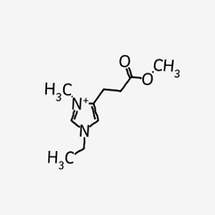 CCn1cc(CCC(=O)OC)[n+](C)c1